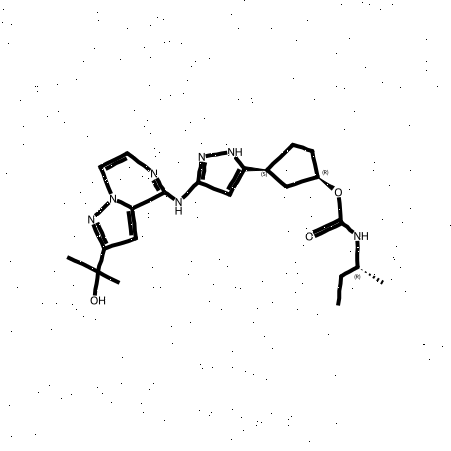 CC[C@@H](C)NC(=O)O[C@@H]1CC[C@H](c2cc(Nc3nccn4nc(C(C)(C)O)cc34)n[nH]2)C1